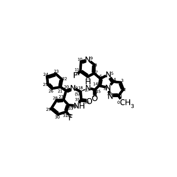 Cc1ccc2nc(-c3cncc(F)c3)c(C(=O)N[C@H]3N=C(c4ccccc4)c4cccc(F)c4NC3=O)n2n1